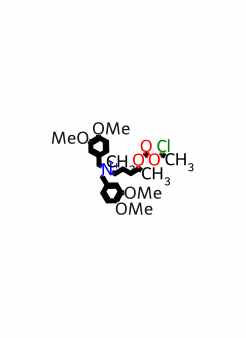 COc1ccc(C[N+](C)(CCCC(C)OC(=O)OC(C)Cl)Cc2ccc(OC)c(OC)c2)cc1OC